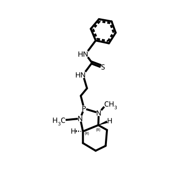 CN1[C@@H]2CCCC[C@H]2N(C)P1CCNC(=S)Nc1ccccc1